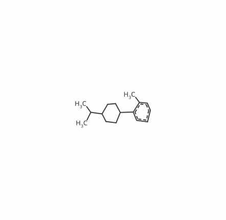 Cc1ccccc1C1CCC(C(C)C)CC1